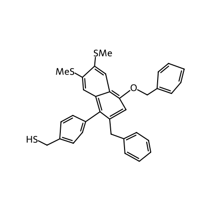 CSc1cc2c(OCc3ccccc3)cc(Cc3ccccc3)c(-c3ccc(CS)cc3)c2cc1SC